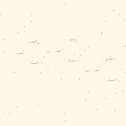 COc1ccccc1C(c1cc[n+]([O-])c(-c2ccc(N)cc2C)c1N)S(N)(=O)=O